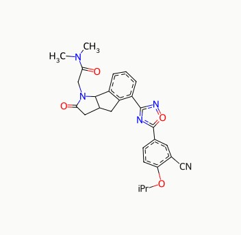 CC(C)Oc1ccc(-c2nc(-c3cccc4c3CC3CC(=O)N(CC(=O)N(C)C)C43)no2)cc1C#N